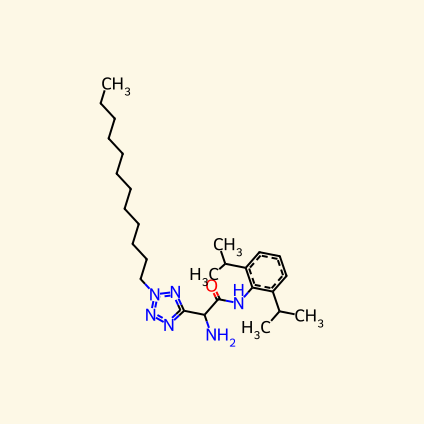 CCCCCCCCCCCCn1nnc(C(N)C(=O)Nc2c(C(C)C)cccc2C(C)C)n1